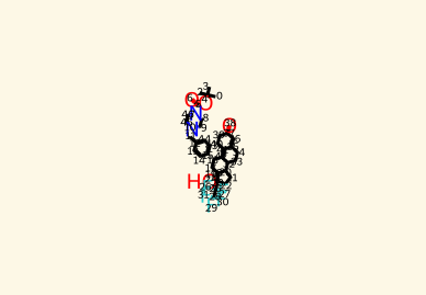 CC(C)(C)OC(=O)N1CCN(Cc2ccc([C@H]3C[C@@]4(C)C(CC[C@]4(O)C(F)(F)C(F)(F)F)C4CCC5=CC(=O)CCC5=C43)cc2)CC1